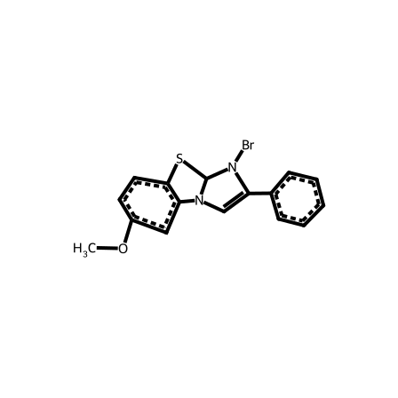 COc1ccc2c(c1)N1C=C(c3ccccc3)N(Br)C1S2